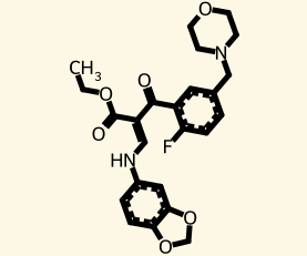 CCOC(=O)C(=CNc1ccc2c(c1)OCO2)C(=O)c1cc(CN2CCOCC2)ccc1F